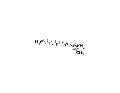 CCCCCCCCCCCCCCCC=CC=C(C)C(=O)OC